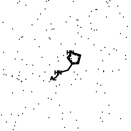 CC(=O)NCc1cc[nH]c1